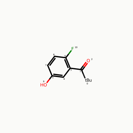 CC(C)(C)C(=O)c1cc(O)ccc1F